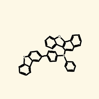 c1ccc(N(c2ccc(-c3ccc4sc5ccccc5c4c3)cc2)c2cc3ccccc3c3oc4ccccc4c23)cc1